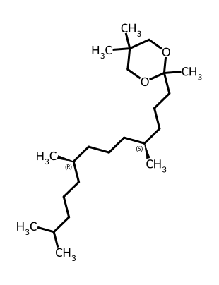 CC(C)CCC[C@@H](C)CCC[C@H](C)CCCC1(C)OCC(C)(C)CO1